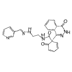 O=C1C=CC=CC1(C(=O)NCCNN=Cc1cccnc1)c1n[nH]c(=O)c2ccccc12